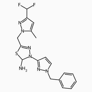 Cc1cc(C(F)F)nn1CC1=NN(c2ccn(Cc3ccccc3)n2)C(N)S1